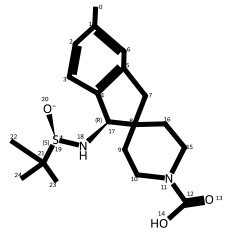 Cc1ccc2c(c1)CC1(CCN(C(=O)O)CC1)[C@H]2N[S@+]([O-])C(C)(C)C